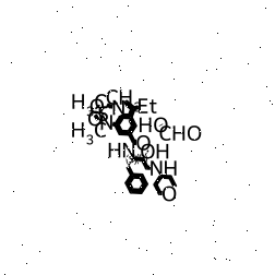 CCc1cn2c3c(cc(C(=O)N[C@@H](Cc4ccccc4)[C@H](O)CNC4CCOCC4)cc13)N(C)S(=O)(=O)C2(C)C.O=CO